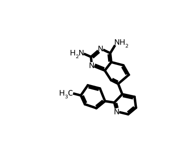 Cc1ccc(-c2ncccc2-c2ccc3c(N)nc(N)nc3c2)cc1